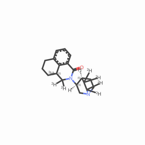 [2H]C1([2H])[C@@H]2CCN(C[C@H]2N2C(=O)c3cccc4c3[C@]([2H])(CCC4)C2([2H])[2H])C1([2H])[2H]